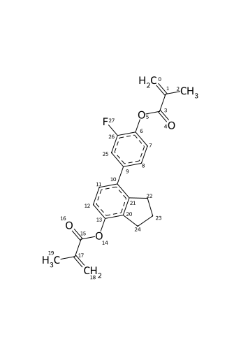 C=C(C)C(=O)Oc1ccc(-c2ccc(OC(=O)C(=C)C)c3c2CCC3)cc1F